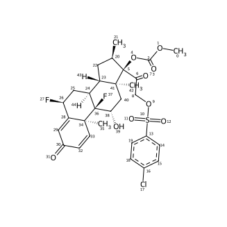 COC(=O)O[C@]1(C(=O)COS(=O)(=O)c2ccc(Cl)cc2)[C@H](C)C[C@H]2[C@@H]3C[C@H](F)C4=CC(=O)C=C[C@]4(C)[C@@]3(F)[C@@H](O)C[C@@]21C